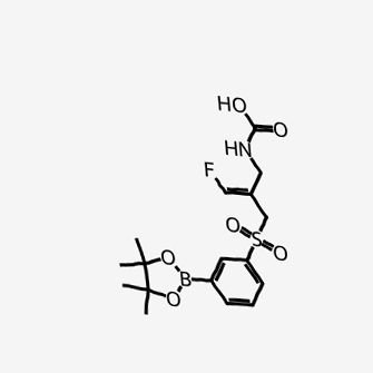 CC1(C)OB(c2cccc(S(=O)(=O)CC(=CF)CNC(=O)O)c2)OC1(C)C